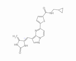 C=c1[nH]c(=O)[nH]/c1=C\c1cnn2ccc(-c3ccc(C(=O)NCC4CC4)s3)nc12